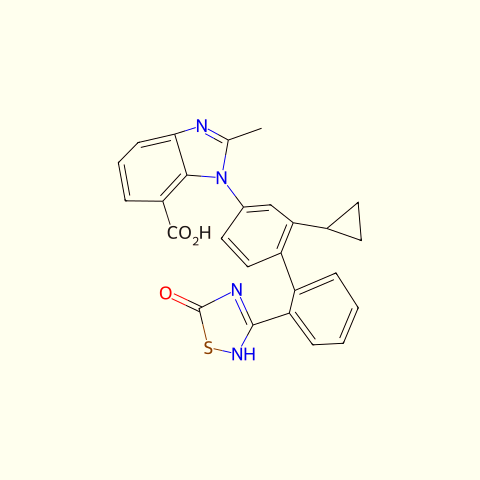 Cc1nc2cccc(C(=O)O)c2n1-c1ccc(-c2ccccc2-c2nc(=O)s[nH]2)c(C2CC2)c1